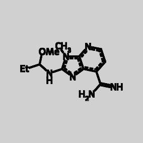 CCC(Nc1nc2c(C(=N)N)ccnc2n1C)OC